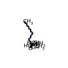 CCCCCCCC/C=C\CC/C=C\CCC(O)(C[N+](C)(C)C)P(=O)(O)O